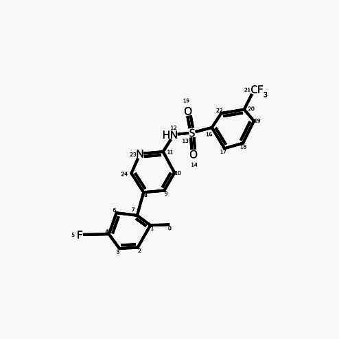 Cc1ccc(F)cc1-c1ccc(NS(=O)(=O)c2cccc(C(F)(F)F)c2)nc1